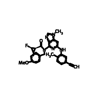 C#Cc1ccc(C)c(Nc2cc3c(ncn3C)c(N(Cc3ccc(OC)cc3)C(=O)[C@H]3C[C@H]3F)n2)c1